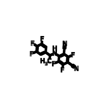 CC(Nc1c(F)c(F)c(C#N)c(F)c1C#N)c1cc(F)c(F)c(F)c1